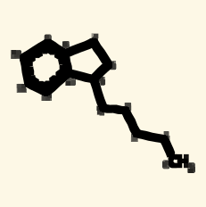 CCCC[CH]C1CCc2ccccc21